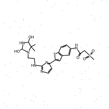 CC1(C)C(O)NC(O)N1CCNc1nccc(-c2cc3cc(NC(=O)CS(C)(=O)=O)ccc3s2)n1